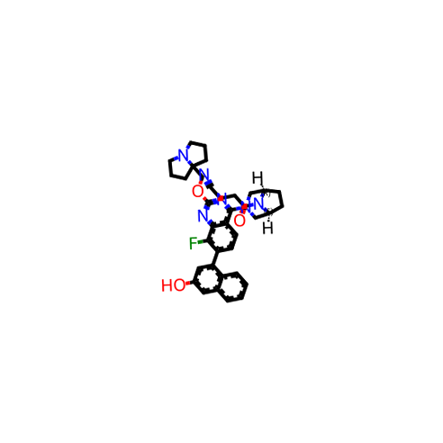 N#CCCC(=O)N1[C@@H]2CC[C@H]1CN(c1nc(OCC34CCCN3CCC4)nc3c(F)c(-c4cc(O)cc5ccccc45)ccc13)C2